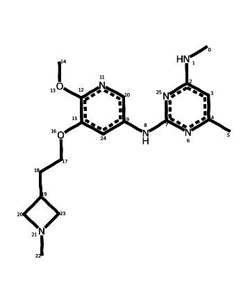 CNc1cc(C)nc(Nc2cnc(OC)c(OCCC3CN(C)C3)c2)n1